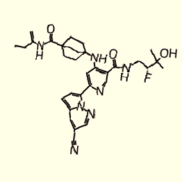 C=C(CC)NC(=O)C12CCC(Nc3cc(-c4ccc5cc(C#N)cnn45)ncc3C(=O)NC[C@@H](F)C(C)(C)O)(CC1)CC2